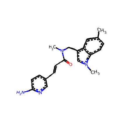 Cc1ccc2c(c1)c(CN(C)C(=O)C=Cc1ccc(N)nc1)cn2C